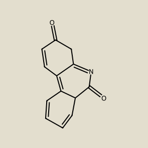 O=C1C=CC2=C3C=CC=CC3C(=O)N=C2C1